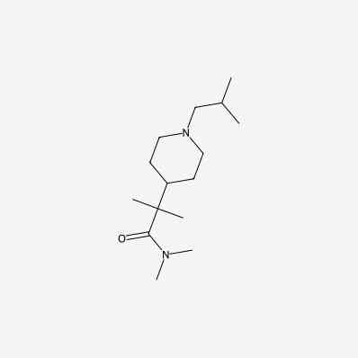 CC(C)CN1CCC(C(C)(C)C(=O)N(C)C)CC1